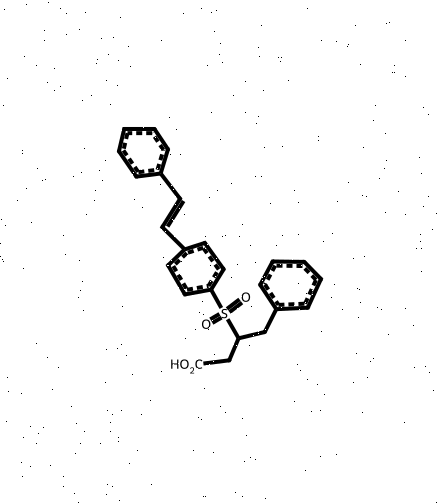 O=C(O)CC(Cc1ccccc1)S(=O)(=O)c1ccc(C=Cc2ccccc2)cc1